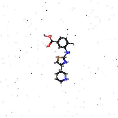 COC(=O)c1ccc(C)c(Nc2nc(-c3cccnc3)cs2)c1